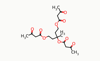 CC(=O)CC(=O)OCCC(C)(CCOC(=O)CC(C)=O)OC(=O)CC(C)=O